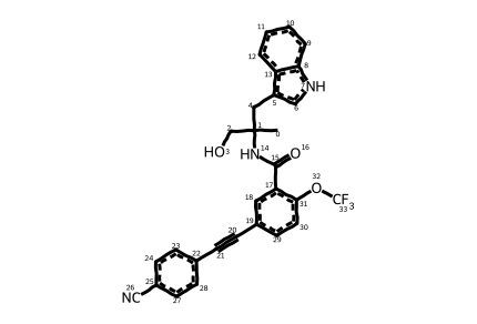 CC(CO)(Cc1c[nH]c2ccccc12)NC(=O)c1cc(C#Cc2ccc(C#N)cc2)ccc1OC(F)(F)F